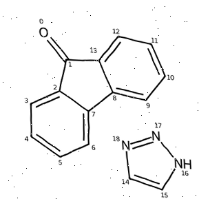 O=C1c2ccccc2-c2ccccc21.c1c[nH]nn1